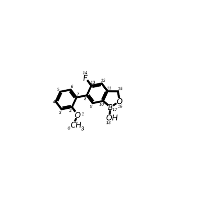 COc1ccccc1-c1cc2c(cc1F)COB2O